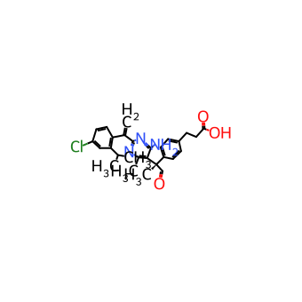 C=C(c1nc(C)c([C@@](C)(C=O)c2ccc(CCC(=O)O)cc2)c(N)n1)c1ccc(Cl)cc1C(C)C